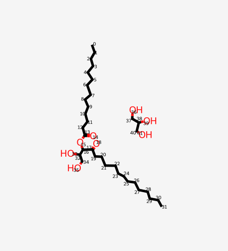 CCCCCCCCCCCCCC(=O)OC(C(=O)CCCCCCCCCCCCC)C(O)CO.OCC(O)CO